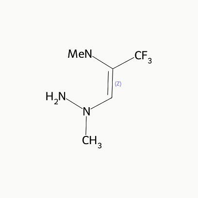 CN/C(=C\N(C)N)C(F)(F)F